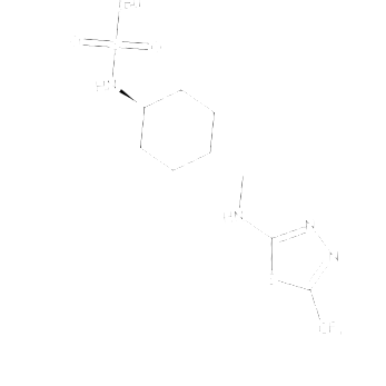 CC(C)(C)S(=O)(=O)N[C@H]1CC[C@H](CNc2nnc(C(F)(F)F)s2)CC1